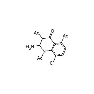 CC(=O)c1ccc(Cl)c2c1C(=O)C(C(C)=O)C(N)N2C(C)=O